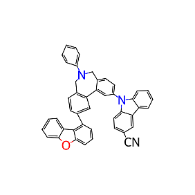 N#Cc1ccc2c(c1)c1ccccc1n2-c1ccc2c(c1)-c1cc(-c3cccc4oc5ccccc5c34)ccc1CN(c1ccccc1)C2